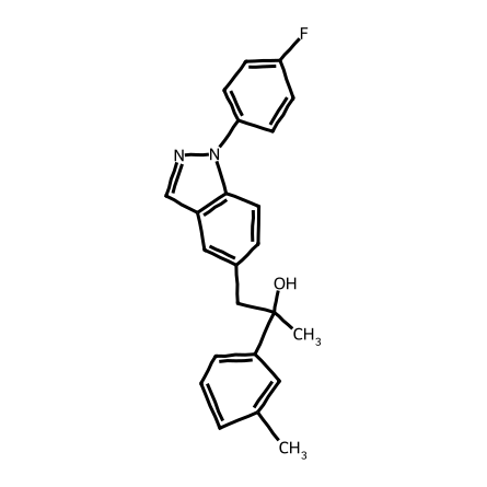 Cc1cccc(C(C)(O)Cc2ccc3c(cnn3-c3ccc(F)cc3)c2)c1